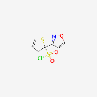 O=S(=O)(Cl)C1(c2ccon2)CC=CS1